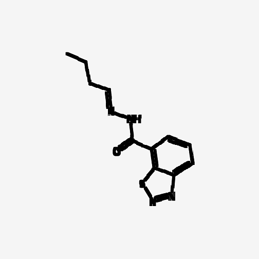 CCCC=NNC(=O)c1cccc2nnsc12